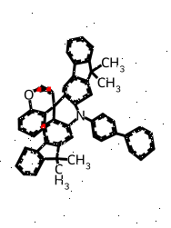 CC1(C)c2ccccc2-c2cc3c(cc21)N(c1ccc(-c2ccccc2)cc1)c1cc2c(cc1C31c3ccccc3Oc3ccccc31)-c1ccccc1C2(C)C